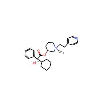 C[N+]1(CCc2ccncc2)CCCC(OC(=O)[C@](O)(c2ccccc2)C2CCCCC2)C1